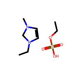 CCN1C=CN(C)C1.CCOS(=O)(=O)O